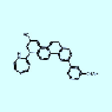 COc1cccc(-c2ccc3c(c2)-c2ccc4c(c2=CC3)=CC(C(C)=O)CC4C2=CC=CC=CN2)c1